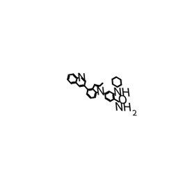 Cc1cc2c(-c3cnc4ccccc4c3)cccc2n1-c1ccc(C(N)=O)c(NC2CCCCC2)c1